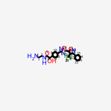 NCCNC(=O)[C@@H](O)c1ccc(-c2noc(-c3onc(-c4ccccc4)c3C(F)(F)F)n2)cc1